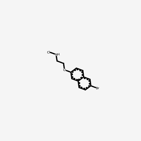 ClNCCOc1ccc2cc(Br)ccc2c1